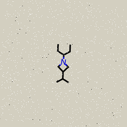 CCC(CC)N1CC(C(C)C)C1